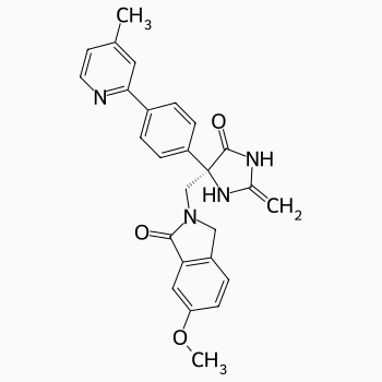 C=C1NC(=O)[C@](CN2Cc3ccc(OC)cc3C2=O)(c2ccc(-c3cc(C)ccn3)cc2)N1